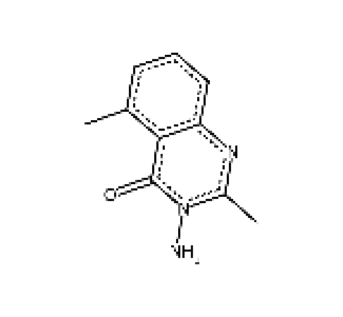 Cc1cccc2nc(C)n(N)c(=O)c12